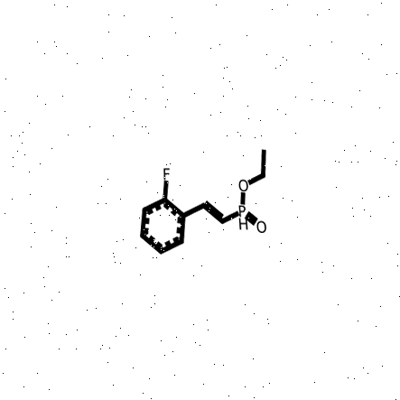 CCO[PH](=O)C=Cc1ccccc1F